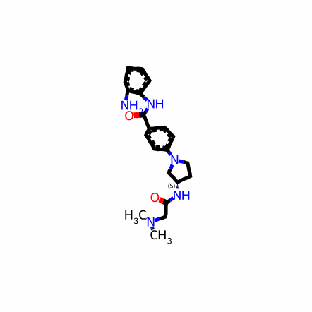 CN(C)CC(=O)N[C@H]1CCN(c2ccc(C(=O)Nc3ccccc3N)cc2)C1